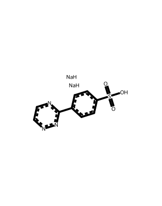 O=S(=O)(O)c1ccc(-c2nccnn2)cc1.[NaH].[NaH]